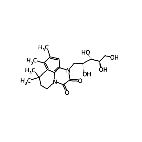 Cc1cc2c3c(c1C)C(C)(C)CCn3c(=O)c(=O)n2C[C@@H](O)[C@H](O)[C@H](O)CO